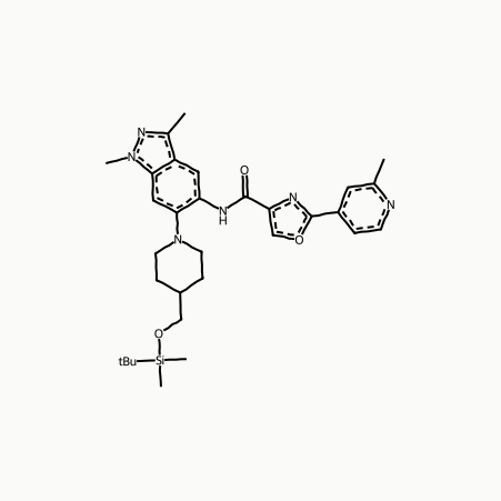 Cc1cc(-c2nc(C(=O)Nc3cc4c(C)nn(C)c4cc3N3CCC(CO[Si](C)(C)C(C)(C)C)CC3)co2)ccn1